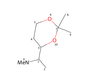 CNC(C)C1CCOC(C)(C)O1